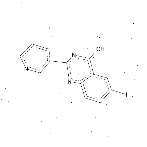 Oc1nc(-c2cccnc2)nc2ccc(I)cc12